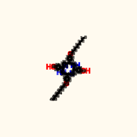 CCCCCCCCCCCOc1ccc(-c2c3nc(c(-c4ccc(O)cc4)c4ccc([nH]4)c(-c4ccc(OCCCCCCCCCCC)cc4)c4nc(c(-c5ccc(O)cc5)c5ccc2[nH]5)C=C4)C=C3)cc1